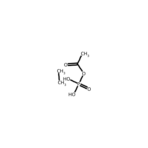 CC.CC(=O)OP(=O)(O)O